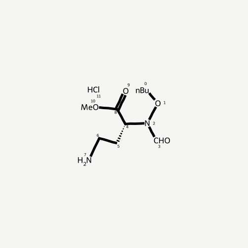 CCCCON(C=O)[C@H](CCN)C(=O)OC.Cl